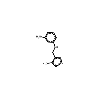 Cc1cscc1CNc1cccc(N)c1